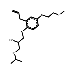 C=CCc1cc(OCCOC)ccc1OCC(O)CNC(C)C